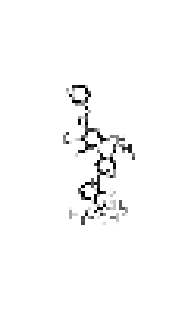 Cc1cnc(-n2cccc(C(C)(C)O)c2=O)cc1-n1c(C)cc(OCc2cccnc2)c(Cl)c1=O